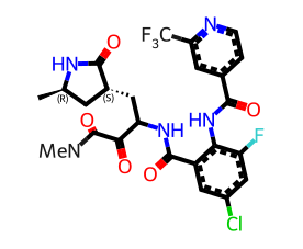 CNC(=O)C(=O)C(C[C@@H]1C[C@@H](C)NC1=O)NC(=O)c1cc(Cl)cc(F)c1NC(=O)c1ccnc(C(F)(F)F)c1